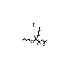 CCCCOC(OCCCC)C(=O)CC(C)=O.[Ti]